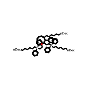 CCCCCCCCCCCCCCCCc1cccc[pH]c(CC[P+](CCCCCCCCCCCCCCCC)(c2ccccc2)c2ccccc2)c(CC[P+](CCCCCCCCCCCCCCCC)(c2ccccc2)c2ccccc2)c1-c1ccccc1